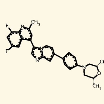 Cc1cc(-c2cnc3cc(-c4ccc(N5C[C@@H](C)O[C@@H](C)C5)cc4)ccn23)c2cc(F)cc(F)c2n1